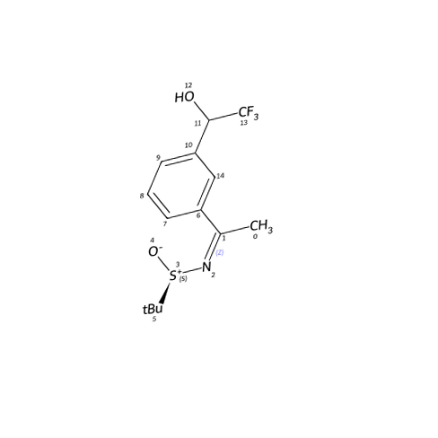 C/C(=N/[S@+]([O-])C(C)(C)C)c1cccc(C(O)C(F)(F)F)c1